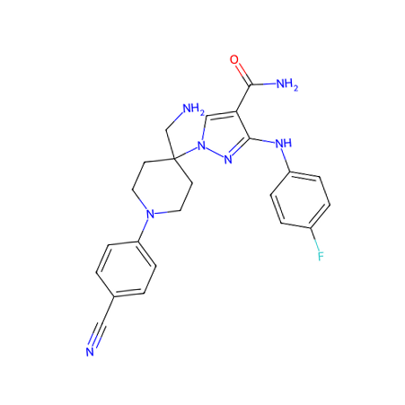 N#Cc1ccc(N2CCC(CN)(n3cc(C(N)=O)c(Nc4ccc(F)cc4)n3)CC2)cc1